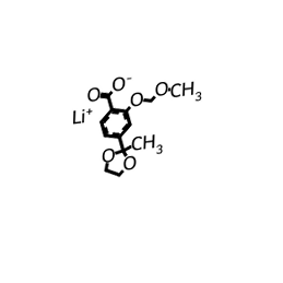 COCOc1cc(C2(C)OCCO2)ccc1C(=O)[O-].[Li+]